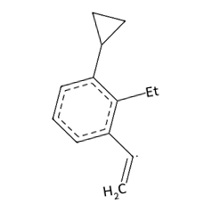 C=[C]c1cccc(C2CC2)c1CC